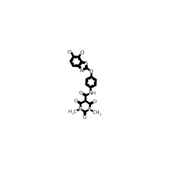 CN1C(=O)C(C(=O)Nc2ccc(Oc3nc4ccc(Cl)c(Cl)c4s3)cc2)C(=O)N(C)C1=O